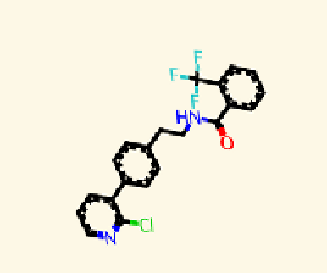 O=C(NCCc1ccc(-c2cccnc2Cl)cc1)c1ccccc1C(F)(F)F